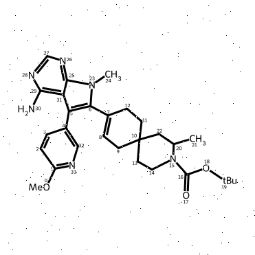 COc1ccc(-c2c(C3=CCC4(CC3)CCN(C(=O)OC(C)(C)C)C(C)C4)n(C)c3ncnc(N)c23)cn1